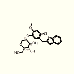 COc1cc(Cl)c(Cc2cc3ccccc3s2)cc1O[C@H]1CO[C@H](CO)[C@@H](O)[C@@H]1O